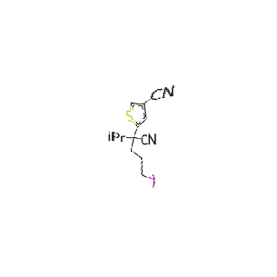 CC(C)C(C#N)(CCCI)c1cc(C#N)cs1